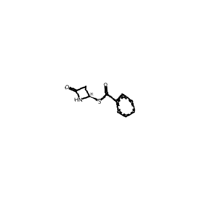 O=C1C[C@@H](SC(=O)c2ccccc2)N1